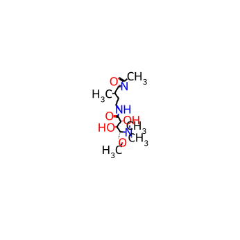 COC[C@H]([C@@H](O)[C@@H](O)C(=O)NCC[C@@H](C)c1nc(C)co1)N(C)C